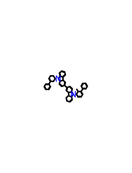 CC1C(c2ccccc2)=CC=CC1N1C2C=CC(C3=CC4c5ccccc5N(C5CCC=C(c6ccccc6)C5)C4C=C3)=CC2C2CCC=CC21